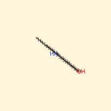 CCCCCCCCCCCCCCCCCCNCCCCCCCCCCCCCCCCCCCCO